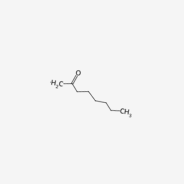 [CH2]C(=O)CCCCCC